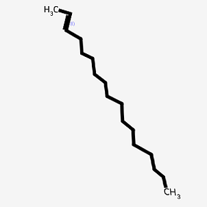 C/C=C/CCCCCCCCCCCCCC